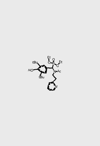 CCOP(=O)(OCC)C(c1cc(C(C)(C)C)c(O)c(C(C)(C)C)c1)N(CCc1ccccn1)C(C)=O